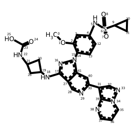 COc1cc(NS(=O)(=O)C2CC2)ccc1-n1nc(NC2CC(NC(=O)O)C2)c2cnc(-c3cnn4cccnc34)cc21